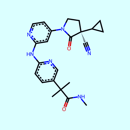 CNC(=O)C(C)(C)c1ccc(Nc2cc(N3CC[C@@](C#N)(C4CC4)C3=O)ccn2)nc1